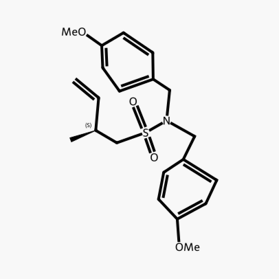 C=C[C@H](C)CS(=O)(=O)N(Cc1ccc(OC)cc1)Cc1ccc(OC)cc1